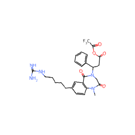 CN1C(=O)CN(C(CC(=O)OC(=O)C(F)(F)F)c2ccccc2)C(=O)c2cc(CCCCCNC(=N)N)ccc21